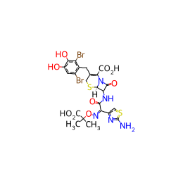 CC(C)(O/N=C(\C(=O)NC1C(=O)N2C(C(=O)O)=C(Cc3c(Br)cc(O)c(O)c3Br)CS[C@H]12)c1csc(N)n1)C(=O)O